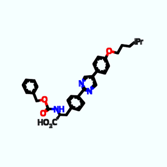 CC(C)CCCOc1ccc(-c2cnc(-c3ccc(C[C@H](NC(=O)OCc4ccccc4)C(=O)O)cc3)nc2)cc1